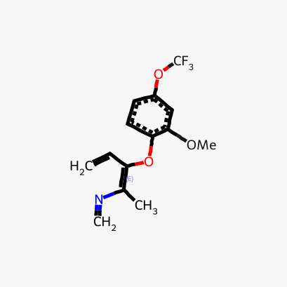 C=C/C(Oc1ccc(OC(F)(F)F)cc1OC)=C(/C)N=C